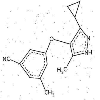 Cc1cc(C#N)cc(Oc2c(C3CC3)n[nH]c2C)c1